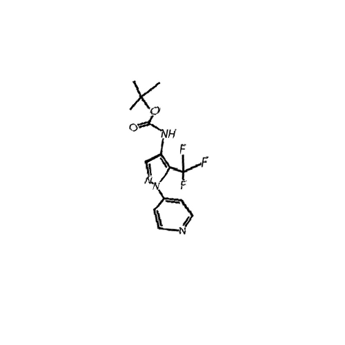 CC(C)(C)OC(=O)Nc1cnn(-c2ccncc2)c1C(F)(F)F